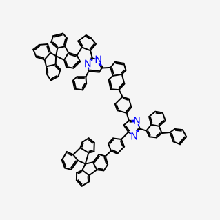 c1ccc(-c2cc(-c3cccc4cc(-c5ccc(-c6cc(-c7ccc(-c8ccc9c(c8)C8(c%10ccccc%10-c%10ccccc%108)c8ccccc8-9)cc7)nc(-c7ccc(-c8ccccc8)c8ccccc78)n6)cc5)ccc34)nc(-c3ccccc3-c3cccc4c3-c3ccccc3C43c4ccccc4-c4ccccc43)n2)cc1